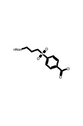 CCCCCCCCCCCCS(=O)(=O)c1ccc(C(=O)Cl)cc1